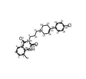 Cc1cccc2c(=O)n(CCCN3CC=C(c4ccc(Cl)cc4)CC3)c(=O)[nH]c12